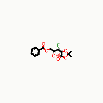 CC1(C)O[C@H]([C@@H](F)[C@H](O)COC(=O)c2ccccc2)[C@H](O)O1